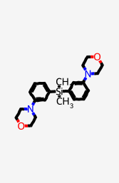 C[Si](C)(c1cccc(N2CCOCC2)c1)c1cccc(N2CCOCC2)c1